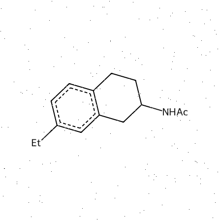 CCc1ccc2c(c1)CC(NC(C)=O)CC2